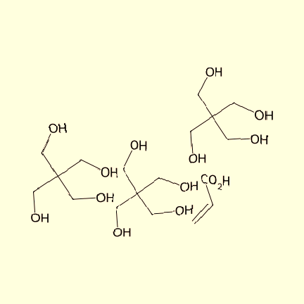 C=CC(=O)O.OCC(CO)(CO)CO.OCC(CO)(CO)CO.OCC(CO)(CO)CO